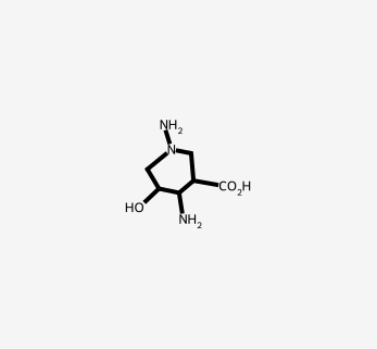 NC1C(O)CN(N)CC1C(=O)O